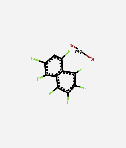 Fc1[c]c(F)c2c(F)c(F)c(F)c(F)c2c1F.[Br][Mg][Br]